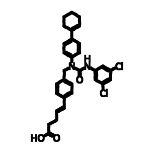 O=C(O)CCC=Cc1ccc(CN(C(=O)Nc2cc(Cl)cc(Cl)c2)c2ccc(C3=CCCCC3)cc2)cc1